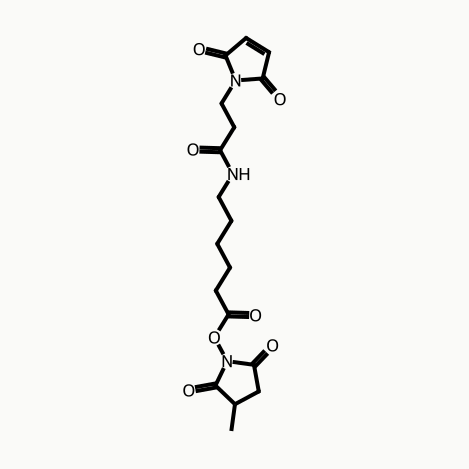 CC1CC(=O)N(OC(=O)CCCCCNC(=O)CCN2C(=O)C=CC2=O)C1=O